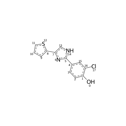 Oc1ccc(-c2nc(-c3cccs3)c[nH]2)cc1Cl